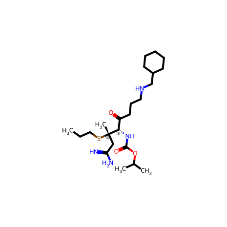 CCCS[C@@](C)(CC(=N)N)[C@@H](NC(=O)OC(C)C)C(=O)CCCNCC1CCCCC1